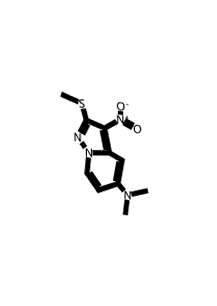 CSc1nn2ccc(N(C)C)cc2c1[N+](=O)[O-]